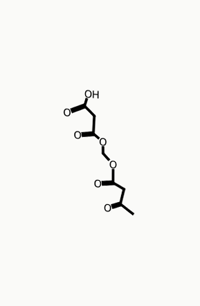 CC(=O)CC(=O)OCOC(=O)CC(=O)O